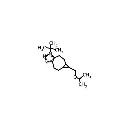 CC(C)OCC1C2CCc3nnn(C(C)(C)C)c3CCC21